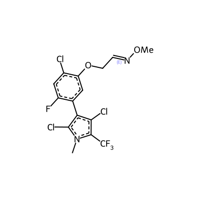 CO/N=C/COc1cc(-c2c(Cl)c(C(F)(F)F)n(C)c2Cl)c(F)cc1Cl